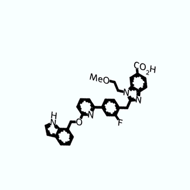 COCCn1c(Cc2ccc(-c3cccc(OCc4cccc5cc[nH]c45)n3)cc2F)nc2ccc(C(=O)O)cc21